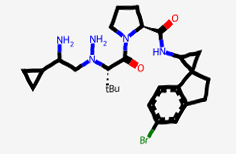 CC(C)(C)[C@@H](C(=O)N1CCC[C@H]1C(=O)NC1CC12CCc1cc(Br)ccc12)N(N)CC(N)C1CC1